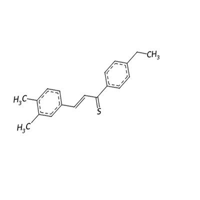 CCc1ccc(C(=S)C=Cc2ccc(C)c(C)c2)cc1